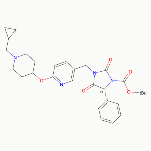 CC(C)(C)OC(=O)N1C(=O)N(Cc2ccc(OC3CCN(CC4CC4)CC3)nc2)C(=O)[C@H]1c1ccccc1